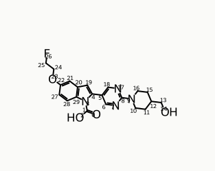 O=C(O)n1c(-c2cnc(N3CCC(CO)CC3)nc2)cc2cc(OCCF)ccc21